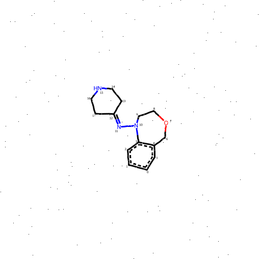 c1ccc2c(c1)COCCN2N=C1CCNCC1